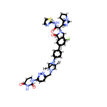 O=C1CCN(c2ccc(CN3C[C@@H]4C[C@H]3CN4c3ccc(-c4cc(F)c5c(c4)C(=O)N(C(C(=O)Nc4nccs4)c4ncn6c4CCC6)C5)cc3)nn2)C(=O)N1